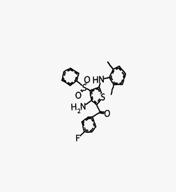 Cc1cccc(C)c1Nc1sc(C(=O)c2ccc(F)cc2)c(N)c1S(=O)(=O)c1ccccc1